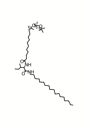 CCCCCCCCCCCCCCCCCCNC(=O)C(NC(=O)CCCCCCCCCC[Si](C)(C)O[Si](C)(C)O[Si](C)(C)C)C(C)CC